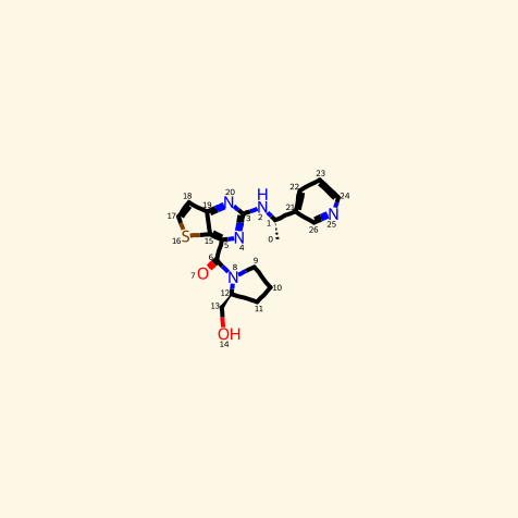 C[C@H](Nc1nc(C(=O)N2CCC[C@H]2CO)c2sccc2n1)c1cccnc1